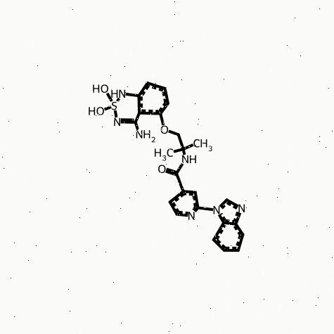 CC(C)(COc1cccc2c1C(N)=NS(O)(O)N2)NC(=O)c1ccnc(-n2cnc3ccccc32)c1